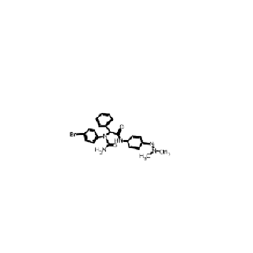 CN(C)N=C1C=CC(NC(=O)C(c2ccccc2)N(C(N)=S)c2ccc(Br)cc2)C=C1